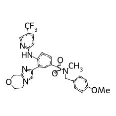 COc1ccc(CN(C)S(=O)(=O)c2ccc(Nc3ccc(C(F)(F)F)cn3)c(-c3cn4c(n3)COCC4)c2)cc1